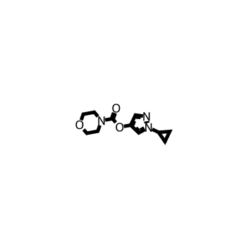 O=C(Oc1cnn(C2CC2)c1)N1CCOCC1